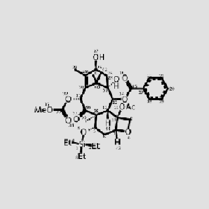 CC[Si](CC)(CC)O[C@H]1C[C@H]2OC[C@@]2(OC(C)=O)[C@H]2[C@H](OC(=O)c3ccccc3)[C@]3(O)C[C@H](O)C(C)=C([C@@H](OC(=O)OC)C(=O)[C@]12C)C3(C)C